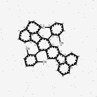 N#Cc1cccc(C#N)c1-c1c2cc3c(cc2c(-c2c(C#N)cccc2C#N)c2c4cccc5cccc(c12)c54)c1cccc2cccc3c21